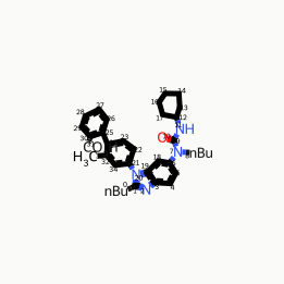 CCCCc1nc2ccc(N(CCCC)C(=O)NC3CCCCC3)cc2n1-c1ccc(-c2ccccc2C(=O)O)c(C)c1